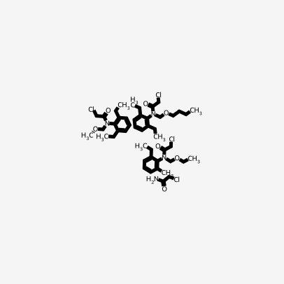 CCCCOCN(C(=O)CCl)c1c(CC)cccc1CC.CCOCN(C(=O)CCl)c1c(C)cccc1CC.CCc1cccc(CC)c1N(COC)C(=O)CCl.NC(=O)CCl